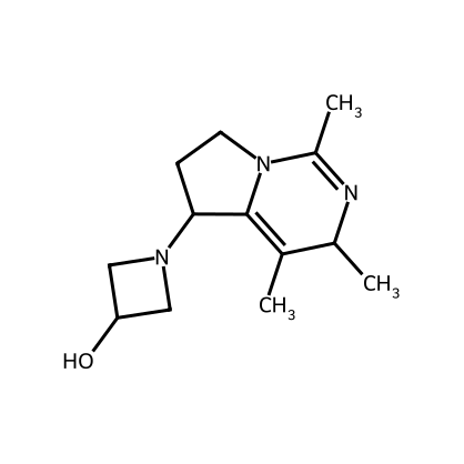 CC1=NC(C)C(C)=C2C(N3CC(O)C3)CCN12